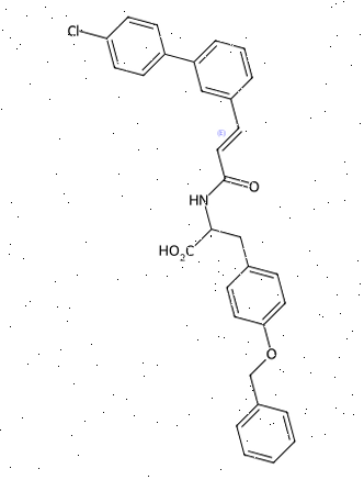 O=C(/C=C/c1cccc(-c2ccc(Cl)cc2)c1)NC(Cc1ccc(OCc2ccccc2)cc1)C(=O)O